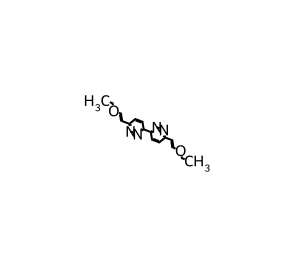 CCOC=Cc1ccc(-c2ccc(C=COCC)nn2)nn1